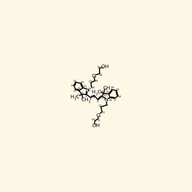 CC1(C)C(/C=C/C=C2/N(CCCOCCO)c3ccccc3C2(C)C)=[N+](CCCOCCO)c2ccccc21